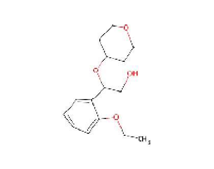 CCOc1ccccc1C(CO)OC1CCOCC1